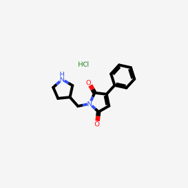 Cl.O=C1C=C(c2ccccc2)C(=O)N1CC1CCNC1